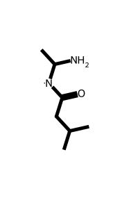 CC(C)CC(=O)[N]C(C)N